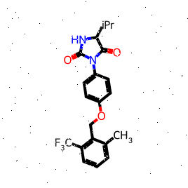 Cc1cccc(C(F)(F)F)c1COc1ccc(N2C(=O)NC(C(C)C)C2=O)cc1